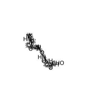 O=CNN1Cc2c(NC(=O)CNCCOCCN3CC(CNC(=O)C4(Cc5cccc(Nc6nccs6)n5)CCCCC4)N=N3)cccc2C1=O